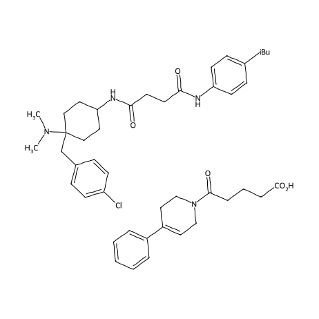 CCC(C)c1ccc(NC(=O)CCC(=O)NC2CCC(Cc3ccc(Cl)cc3)(N(C)C)CC2)cc1.O=C(O)CCCC(=O)N1CC=C(c2ccccc2)CC1